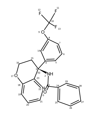 O=C(N[C@]1(c2cccc(OC(F)(F)F)c2)CCOc2cccnc21)c1ccccc1